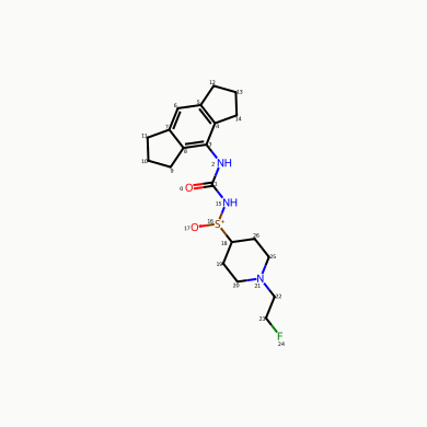 O=C(Nc1c2c(cc3c1CCC3)CCC2)N[S+]([O-])C1CCN(CCF)CC1